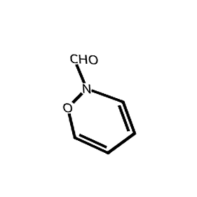 O=CN1C=CC=CO1